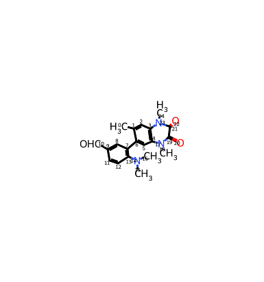 Cc1cc2c(cc1-c1cc(C=O)ccc1N(C)C)n(C)c(=O)c(=O)n2C